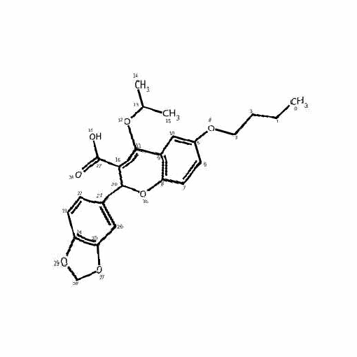 CCCCOc1ccc2c(c1)C(OC(C)C)=C(C(=O)O)C(c1ccc3c(c1)OCO3)O2